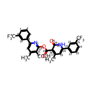 Cc1cc(-c2cccc(C(F)(F)F)c2)nc(OC(=O)c2c(C)cc(-c3cccc(C(F)(F)F)c3)[nH]c2=O)c1C(=O)O